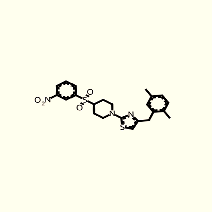 Cc1ccc(C)c(Cc2csc(N3CCC(S(=O)(=O)c4cccc([N+](=O)[O-])c4)CC3)n2)c1